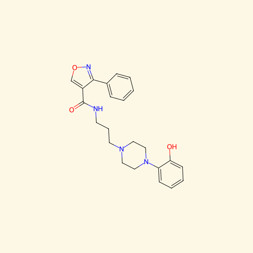 O=C(NCCCN1CCN(c2ccccc2O)CC1)c1conc1-c1ccccc1